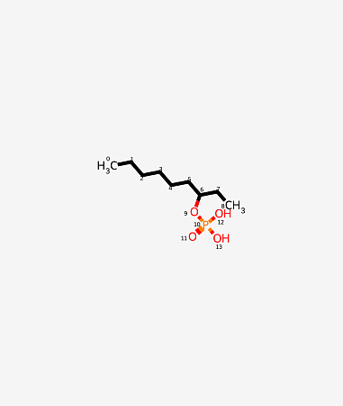 CCCCCCC(CC)OP(=O)(O)O